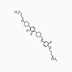 C=CCCCOc1ccc(OCC2CCC(c3ccc(C4CCC(OCCCC)CC4)c(F)c3F)CC2)cc1F